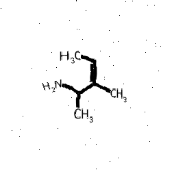 CC=C(C)C(C)N